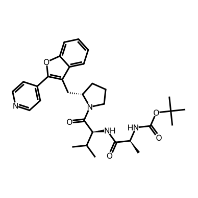 CC(C)[C@H](NC(=O)[C@H](C)NC(=O)OC(C)(C)C)C(=O)N1CCC[C@H]1Cc1c(-c2ccncc2)oc2ccccc12